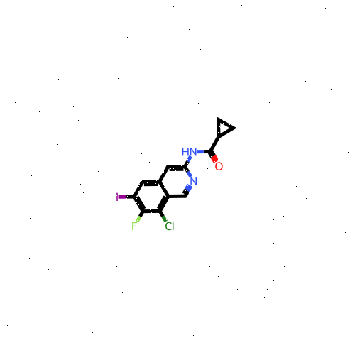 O=C(Nc1cc2cc(I)c(F)c(Cl)c2cn1)C1CC1